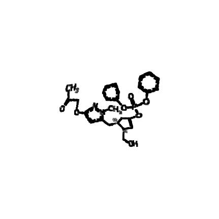 CC(=O)COc1cc(C[C@H]2CC(OP(=O)(Oc3ccccc3)Oc3ccccc3)=C[C@H]2CO)n(C)n1